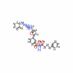 C/C(=N\Nc1nc2ccccc2s1)c1ccc(-c2cccc(S(=O)(=O)NC(=O)CCCc3ccccc3)c2)o1